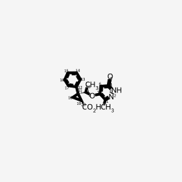 Cc1n[nH]c(=O)cc1OC(C)[C@@]1(c2ccccc2)C[C@H]1C(=O)O